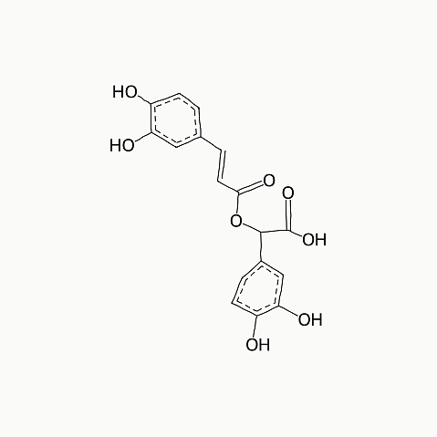 O=C(/C=C/c1ccc(O)c(O)c1)OC(C(=O)O)c1ccc(O)c(O)c1